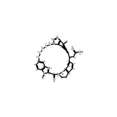 Cc1c2ccc3c1nnn3CCCCCc1ccc3c(c1)nc(n3C)C(=O)N1CCc3ccc(cc3C1)C2CC(=O)O